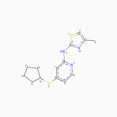 Cc1csc(Nc2cc(SC3CCCC3)ccn2)n1